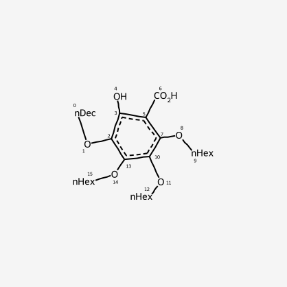 CCCCCCCCCCOc1c(O)c(C(=O)O)c(OCCCCCC)c(OCCCCCC)c1OCCCCCC